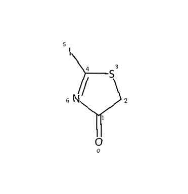 O=C1CSC(I)=N1